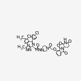 Cc1sc2c(c1C)C(c1ccc(Cl)cc1)=N[C@@H](CC(=O)NN1CCN(C(=O)COc3cccc4c3C(=O)N(C3CCC(=O)NC3=O)C4=O)CC1)c1nnc(C)n1-2